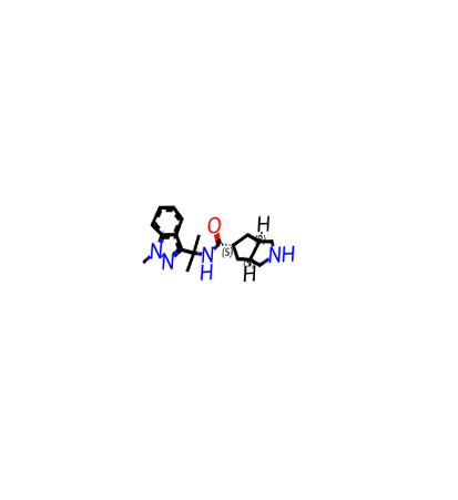 Cn1nc(C(C)(C)NC(=O)[C@@H]2C[C@H]3CNC[C@H]3C2)c2ccccc21